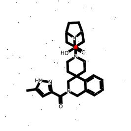 Cc1cc(C(=O)N2Cc3ccccc3C3(CCN(C4CC5CCC(C4)N5C(=O)O)CC3)C2)n[nH]1